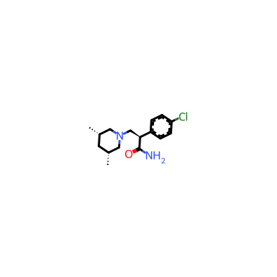 C[C@@H]1C[C@H](C)CN(C[C@H](C(N)=O)c2ccc(Cl)cc2)C1